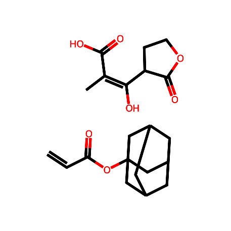 C=CC(=O)OC12CC3CC(CC(C3)C1)C2.CC(C(=O)O)=C(O)C1CCOC1=O